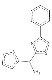 NC(c1cccs1)c1nc(-c2ccccc2)cs1